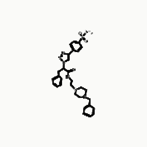 NS(=O)(=O)c1ccc(-c2cn(C(Cc3ccccc3)C(=O)NCCN3CCN(Cc4ccccc4)CC3)nn2)cc1